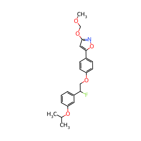 COCOc1cc(-c2ccc(OCC(F)c3cccc(OC(C)C)c3)cc2)on1